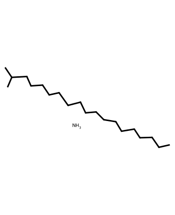 CCCCCCCCCCCCCCCCCC(C)C.N